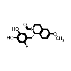 COC1=CCC2=C(CCN(C=O)[C@H]2Cc2cc(O)c(O)cc2F)C1